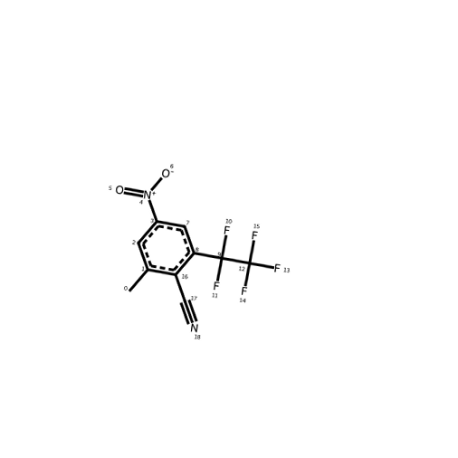 Cc1cc([N+](=O)[O-])cc(C(F)(F)C(F)(F)F)c1C#N